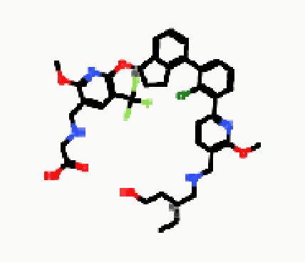 CC[C@H](CCO)CNCc1ccc(-c2cccc(-c3cccc4c3CC[C@@H]4Oc3nc(OC)c(CNCC(=O)O)cc3C(F)(F)F)c2Cl)nc1OC